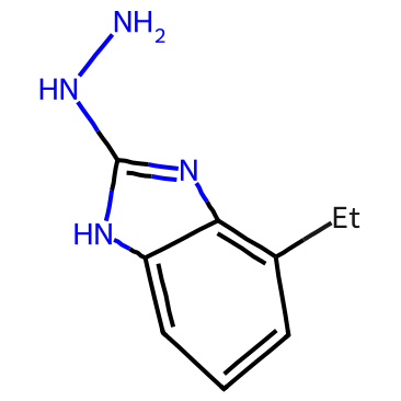 CCc1cccc2[nH]c(NN)nc12